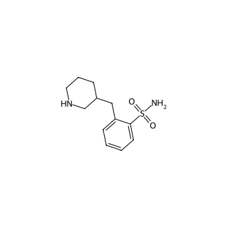 NS(=O)(=O)c1ccccc1CC1CCCNC1